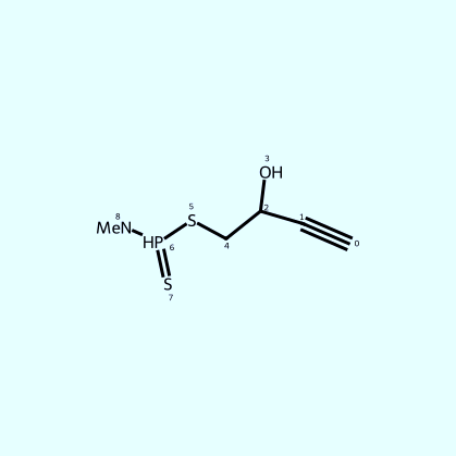 C#CC(O)CS[PH](=S)NC